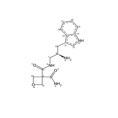 NC(=O)C1(C(=O)NC[C@H](N)Cc2c[nH]c3ccccc23)COC1